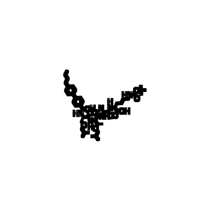 CCCCc1ccc(-c2ccc(C(=O)N[C@@H](COCC(C)C)C(=O)N[C@H](C(=O)N[C@@H](N)C(=O)N[C@@H](CCCCNC(=O)OC(C)(C)C)C(=O)O)[C@@H](C)OCC(C)C)cc2)cc1